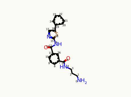 NCCCNC(=O)c1cccc(C(=O)Nc2ncc(-c3ccccc3)s2)c1